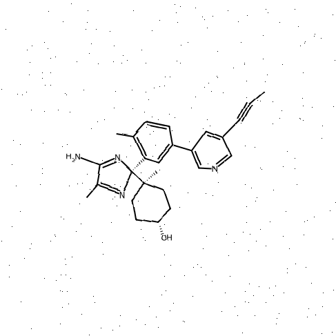 CC#Cc1cncc(-c2ccc(C)c([C@]3([C@]4(C)CC[C@@H](O)CC4)N=C(C)C(N)=N3)c2)c1